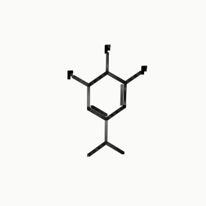 CC(C)C1=CC(F)C(F)C(F)=C1